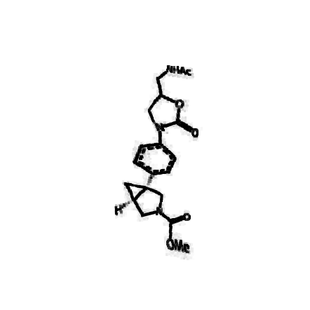 COC(=O)N1C[C@H]2C[C@@]2(c2ccc(N3CC(CNC(C)=O)OC3=O)cc2)C1